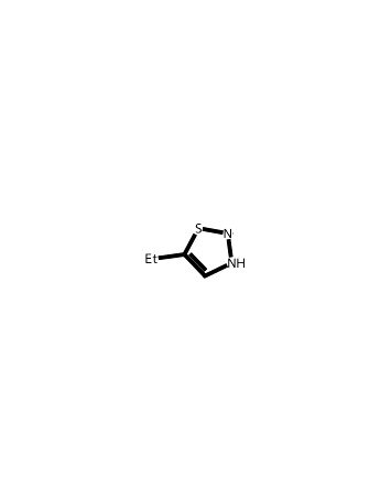 CCC1=CN[N]S1